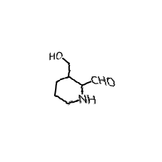 O=CC1NCCCC1CO